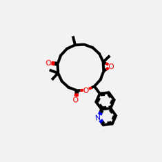 CC1CCCC2(C)OC2CC(c2ccc3cccnc3c2)OC(=O)CCC(C)(C)C(=O)CC1